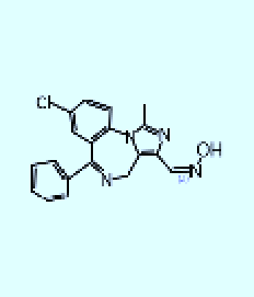 Cc1nc(/C=N\O)c2n1-c1ccc(Cl)cc1C(c1ccccc1)=NC2